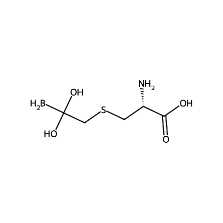 BC(O)(O)CSC[C@H](N)C(=O)O